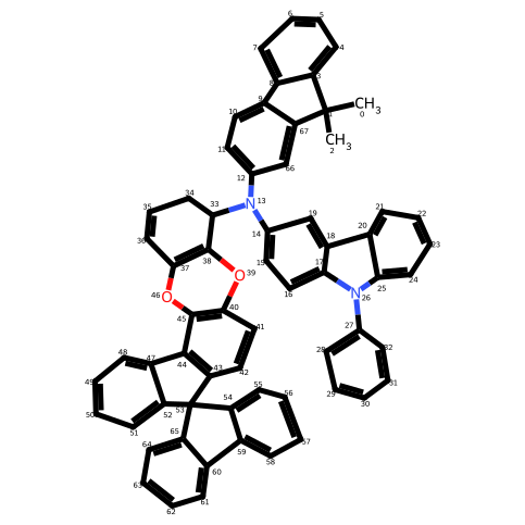 CC1(C)c2ccccc2-c2ccc(N(c3ccc4c(c3)c3ccccc3n4-c3ccccc3)C3CC=CC4=C3Oc3ccc5c(c3O4)-c3ccccc3C53c4ccccc4-c4ccccc43)cc21